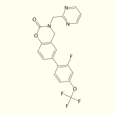 O=C1Oc2ccc(-c3ccc(OC(F)(F)F)cc3F)cc2CN1Cc1ncccn1